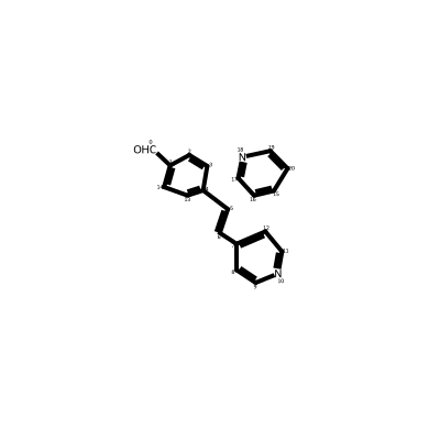 O=Cc1ccc(C=Cc2ccncc2)cc1.c1ccncc1